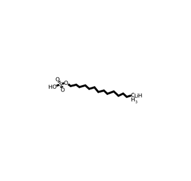 CCCCCCCCCCCCCCOS(=O)(=O)O.[LiH]